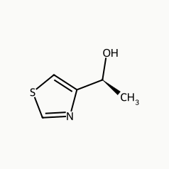 C[C@H](O)c1cscn1